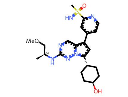 COC[C@H](C)Nc1ncc2c(-c3ccnc(S(C)(=N)=O)c3)cc([C@H]3CC[C@H](O)CC3)n2n1